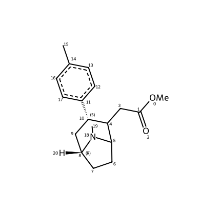 COC(=O)CC1C2CC[C@H](C[C@@H]1c1ccc(C)cc1)N2C